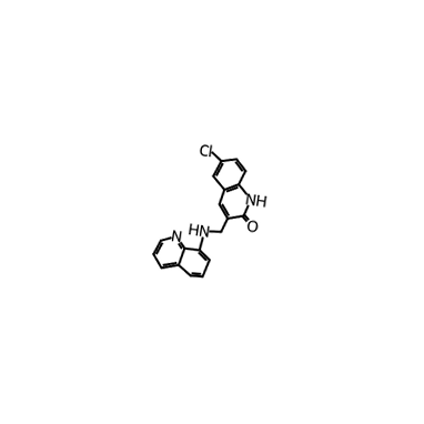 O=c1[nH]c2ccc(Cl)cc2cc1CNc1cccc2cccnc12